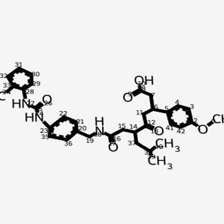 COc1ccc(C(CC(=O)O)CC(=O)C(CC(=O)NCc2ccc(NC(=O)Nc3ccccc3C)cc2)CC(C)C)cc1